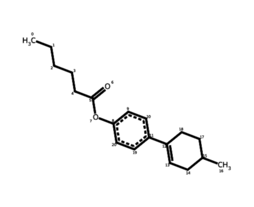 CCCCCC(=O)Oc1ccc(C2=CCC(C)CC2)cc1